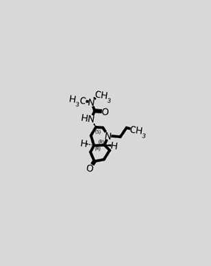 CCCN1C[C@@H](NC(=O)N(C)C)C[C@@H]2CC(=O)CC[C@H]21